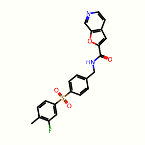 Cc1ccc(S(=O)(=O)c2ccc(CNC(=O)c3cc4ccncc4o3)cc2)cc1F